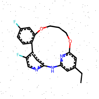 CCc1cc2nc(c1)OCCCOc1cc(F)ccc1-c1cc(ncc1F)N2